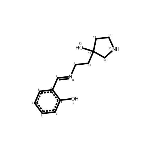 Oc1ccccc1C=NCCC1(O)CCNC1